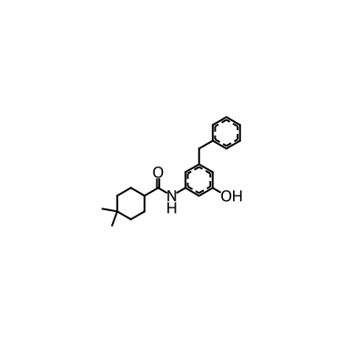 CC1(C)CCC(C(=O)Nc2cc(O)cc(Cc3ccccc3)c2)CC1